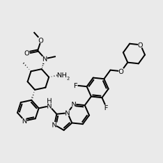 COC(=O)N(C)[C@@H]1[C@H](N)C[C@H](c2ccncc2Nc2ncc3ccc(-c4c(F)cc(COC5CCOCC5)cc4F)nn23)C[C@@H]1C